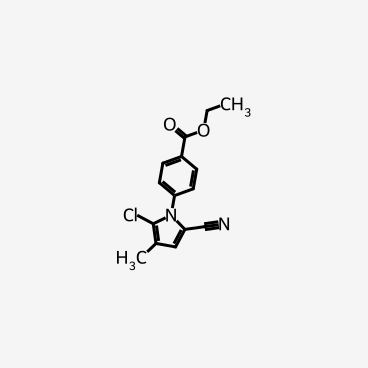 CCOC(=O)c1ccc(-n2c(C#N)cc(C)c2Cl)cc1